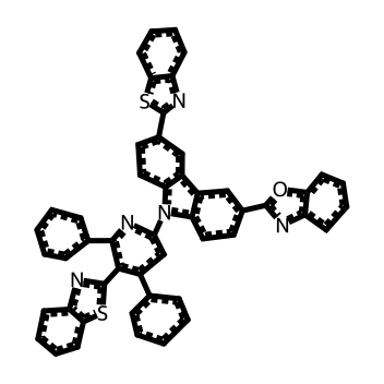 c1ccc(-c2cc(-n3c4ccc(-c5nc6ccccc6o5)cc4c4cc(-c5nc6ccccc6s5)ccc43)nc(-c3ccccc3)c2-c2nc3ccccc3s2)cc1